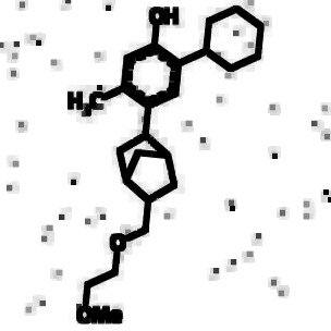 COCCOCC1CC2CC1CC2c1cc(C2CCCCC2)c(O)cc1C